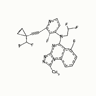 Cc1nnc2nc(N(CC(F)F)c3ccnc(C#CC4(C(F)F)CC4)c3F)c3c(F)cccc3n12